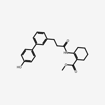 COC(=O)C1=C(NC(=O)CCc2cccc(-c3ccc(O)cc3)c2)CCCC1